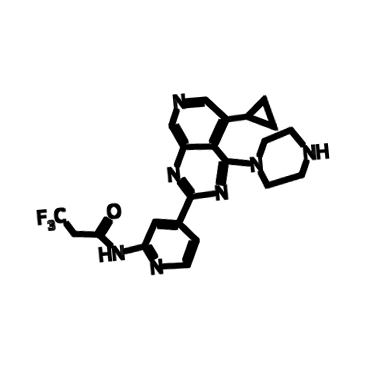 O=C(CC(F)(F)F)Nc1cc(-c2nc(N3CCNCC3)c3c(C4CC4)cncc3n2)ccn1